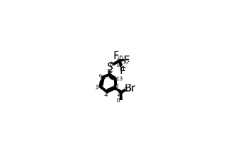 CC(Br)c1cccc(SC(F)(F)F)c1